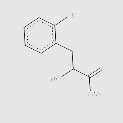 COC(=O)C(O)Cc1ccccc1C